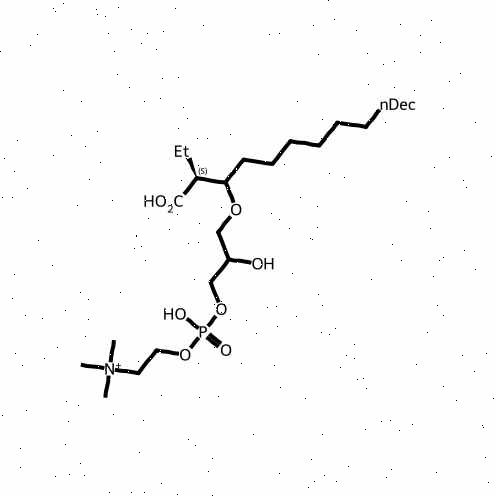 CCCCCCCCCCCCCCCCC(OCC(O)COP(=O)(O)OCC[N+](C)(C)C)[C@H](CC)C(=O)O